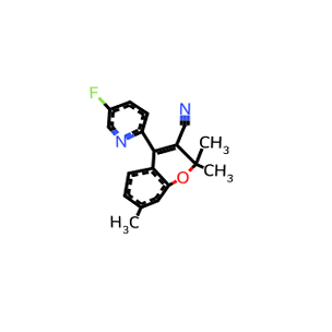 Cc1ccc2c(c1)OC(C)(C)C(C#N)=C2c1ccc(F)cn1